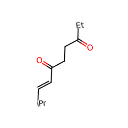 CCC(=O)CCC(=O)/C=C/C(C)C